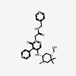 C[C@@H]1CC(C)(C)[C@@H](CO)C[C@H]1Nc1cnn(CC(=O)NCc2ccncc2)c(=O)c1-c1ccncc1